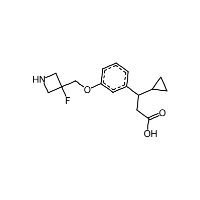 O=C(O)CC(c1cccc(OCC2(F)CNC2)c1)C1CC1